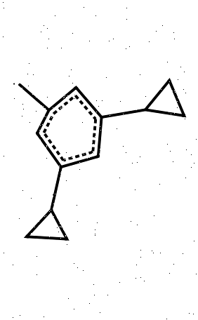 [CH2]c1cc(C2CC2)cc(C2CC2)c1